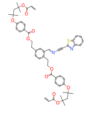 C=CC(=O)OC(C)(C)CC(C)(C)Oc1ccc(C(=O)OCCc2ccc(CCOC(=O)c3ccc(OC(C)(C)CC(C)(C)OC(=O)C=C)cc3)c(/C=N/C#Cc3nc4ccccc4s3)c2)cc1